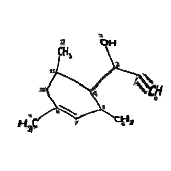 C#CC(O)C1C(C)C=C(C)CC1C